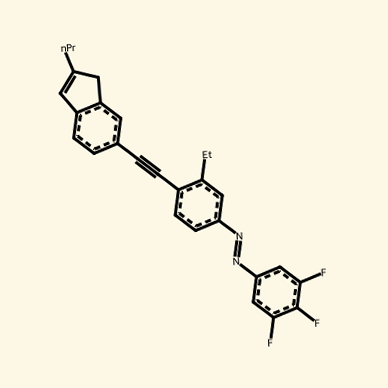 CCCC1=Cc2ccc(C#Cc3ccc(N=Nc4cc(F)c(F)c(F)c4)cc3CC)cc2C1